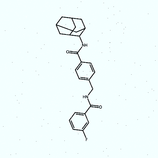 O=C(NCc1ccc(C(=O)NC2C3CC4CC(C3)CC2C4)cc1)c1cccc(F)c1